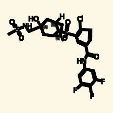 C[C@H]1C[C@H]2C[C@@](O)(CNS(C)(=O)=O)CC1C2S(=O)(=O)c1cc(C(=O)Nc2cc(F)c(F)c(F)c2)ccc1Cl